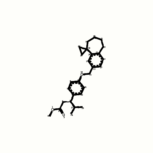 COC(=O)C[C@@H](c1ccc(OCc2ccc3c(c2)C2(CCCC3)CC2)cc1)C(C)C